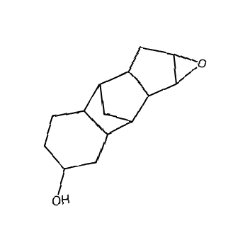 OC1CCC2C3CC(C2C1)C1C3CC2OC21